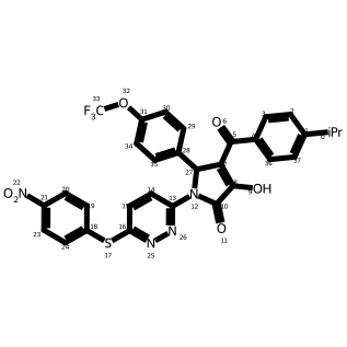 CC(C)c1ccc(C(=O)C2=C(O)C(=O)N(c3ccc(Sc4ccc([N+](=O)[O-])cc4)nn3)C2c2ccc(OC(F)(F)F)cc2)cc1